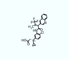 C[C@H](C(C(=O)Nc1cc([C@@H](CC(=O)O)C2CC2)ccc1Cl)c1cnc2ccccc2c1)C(F)(F)F